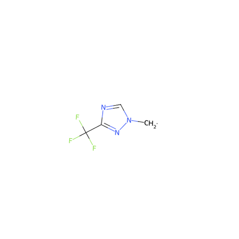 [CH2]n1cnc(C(F)(F)F)n1